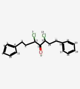 O=C(C(Cl)CCc1ccccc1)C(Cl)CCc1ccccc1